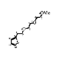 COCCOCCOCCc1cccs1